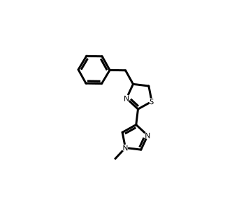 Cn1cnc(C2=NC(Cc3ccccc3)CS2)c1